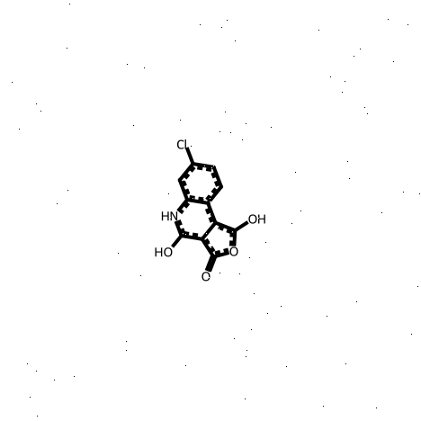 O=c1oc(O)c2c3ccc(Cl)cc3[nH]c(O)c1-2